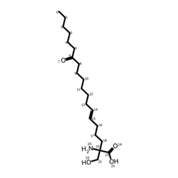 CCCCCCC(=O)CCCCCCC=CCCCC(N)(CO)C(=O)O